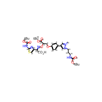 C[n+]1cc(-c2ccc(OCC(O/N=C(\C(=O)O)c3csc(NC(=O)OC(C)(C)C)n3)C(=O)OC(C)(C)C)cc2)cn1CCCNC(=O)OC(C)(C)C